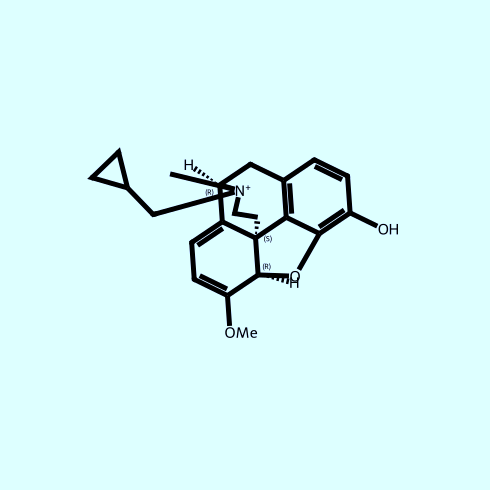 COC1=CC=C2[C@H]3Cc4ccc(O)c5c4[C@@]2(CC[N+]3(C)CC2CC2)[C@H]1O5